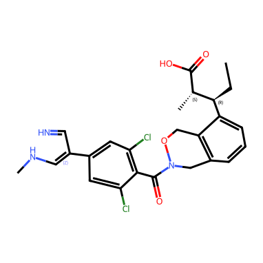 CC[C@@H](c1cccc2c1CON(C(=O)c1c(Cl)cc(/C(C=N)=C/NC)cc1Cl)C2)[C@H](C)C(=O)O